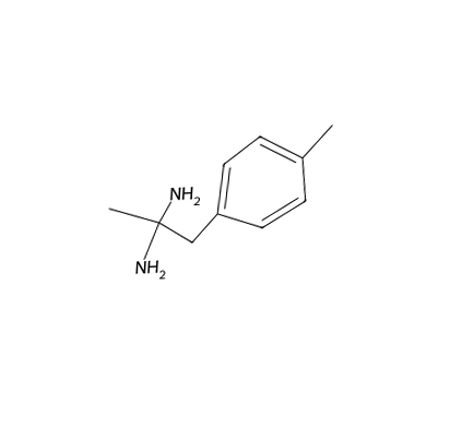 Cc1ccc(CC(C)(N)N)cc1